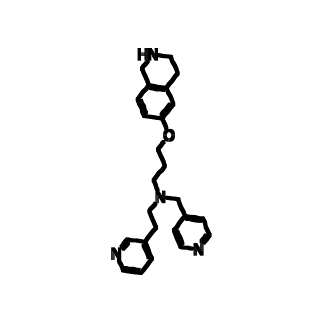 c1cncc(CCN(CCCOc2ccc3c(c2)CCNC3)Cc2ccncc2)c1